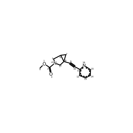 COC(=O)N1CC2CC2(C#Cc2ccccn2)C1